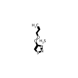 C=CCOOc1csnn1.S